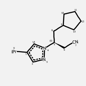 CC(C)c1cnn([C@H](CC#N)CC2CCCC2)c1